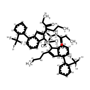 CCCCC1=Cc2c(-c3ccccc3C(F)(F)F)cccc2[CH]1[Hf]([Cl])([Cl])([B](NC(=O)CC)NC(=O)CC)[CH]1C(CCCC)=Cc2c(-c3ccccc3C(F)(F)F)cccc21